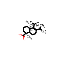 CC(C)C1=C(C(C)C)[C@@]2(C)CCC[C@](C)(C(=O)O)C2CC1